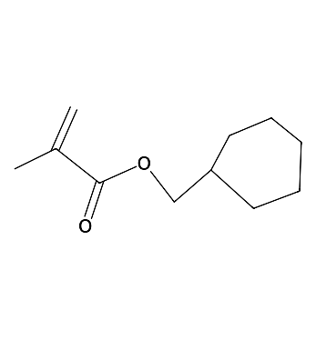 C=C(C)C(=O)OCC1CCCCC1